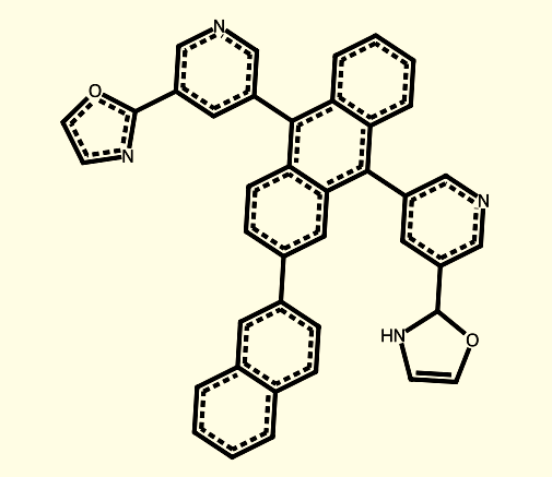 C1=COC(c2cncc(-c3c4ccccc4c(-c4cncc(-c5ncco5)c4)c4ccc(-c5ccc6ccccc6c5)cc34)c2)N1